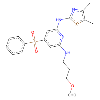 Cc1nc(Nc2cc(S(=O)(=O)c3ccccc3)cc(NCCCOC=O)n2)sc1C